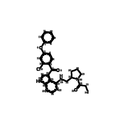 O=C(c1ccc(Oc2ccccc2)cc1Cl)c1c[nH]c2ncnc(NCC3CCCN3C(=O)CI)c12